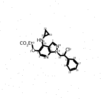 CCOC(=O)Oc1cnc2c(cnn2CC(Cl)c2ccccc2)c1NC1CC1